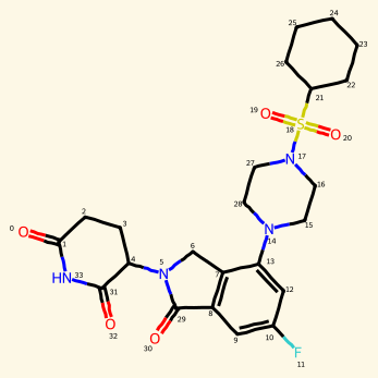 O=C1CCC(N2Cc3c(cc(F)cc3N3CCN(S(=O)(=O)C4CCCCC4)CC3)C2=O)C(=O)N1